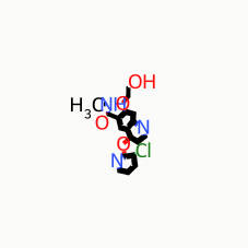 CNC(=O)c1cc2c(Oc3ncccc3Cl)ccnc2cc1OCCO